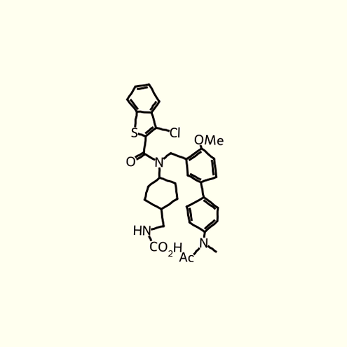 COc1ccc(-c2ccc(N(C)C(C)=O)cc2)cc1CN(C(=O)c1sc2ccccc2c1Cl)C1CCC(CNC(=O)O)CC1